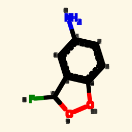 Nc1ccc2c(c1)C(F)OO2